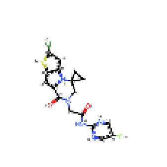 O=C(CN1CC2(CC2)n2c(cc3sc(Cl)cc32)C1=O)Nc1ncc(F)cn1